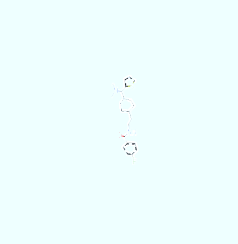 CN(C)C(c1cccs1)C1CCC(CCNC(=O)c2ccc(F)cc2)CC1